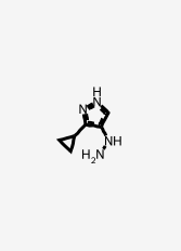 NNc1c[nH]nc1C1CC1